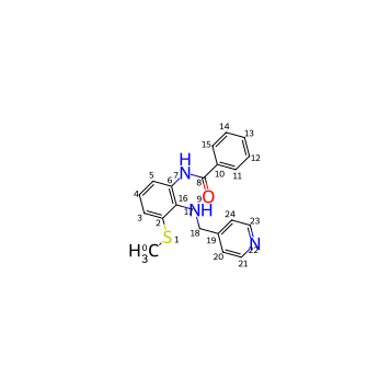 CSc1cccc(NC(=O)c2ccccc2)c1NCc1ccncc1